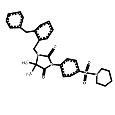 CC1(C)C(=O)N(c2ccc(S(=O)(=O)N3CCCCC3)cc2)C(=O)N1Cc1ccccc1Cc1ccccc1